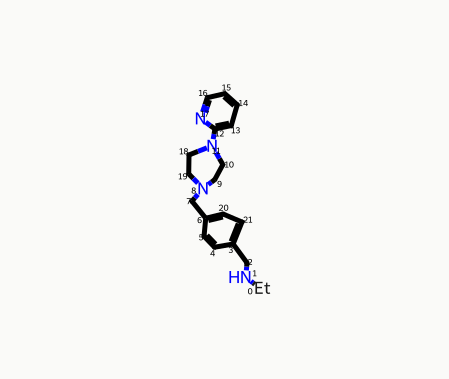 CCNCc1ccc(CN2CCN(c3ccccn3)CC2)cc1